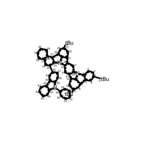 CC(C)(C)c1ccc2c(c1)c1cc(C(C)(C)C)cc3c4cc5c(cc4n2c13)c1cc(C(C)(C)C)cc2c3c4ccccc4cc(-c4ccc6c(c4)c4ccccc4n6-c4ccccc4)c3n5c12